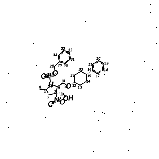 C[C@@H]1C[C@](CO)([N+](=O)[O-])[C@H](CO[C@H]2CC[C@@H](c3ccccc3)CC2)N1C(=O)OCc1ccccc1